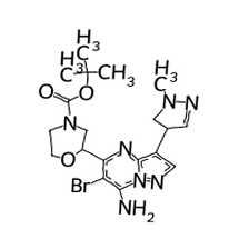 CN1CC(c2cnn3c(N)c(Br)c(C4CN(C(=O)OC(C)(C)C)CCO4)nc23)C=N1